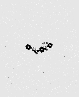 Nc1ccccc1NC(=O)c1ccc(-c2ncc(CNc3ccccc3)s2)cc1